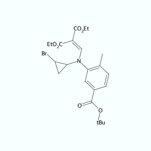 CCOC(=O)C(=CN(c1cc(C(=O)OC(C)(C)C)ccc1C)C1CC1Br)C(=O)OCC